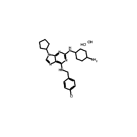 Cl.Cl.NC1CCC(Nc2nc(NCc3ccc(Cl)cc3)c3ncn(C4CCCC4)c3n2)CC1